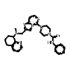 CN(Cc1cn2c(N3CCN(C(=O)Nc4ccccc4)CC3)nccc2n1)C1CCCc2cccnc21